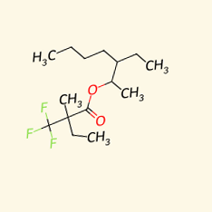 CCCCC(CC)C(C)OC(=O)C(C)(CC)C(F)(F)F